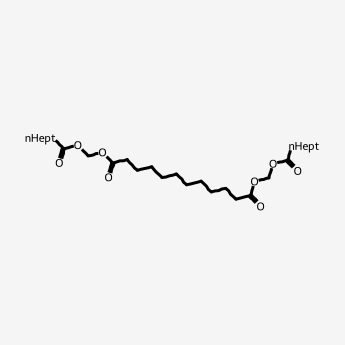 CCCCCCCC(=O)OCOC(=O)CCCCCCCCCCC(=O)OCOC(=O)CCCCCCC